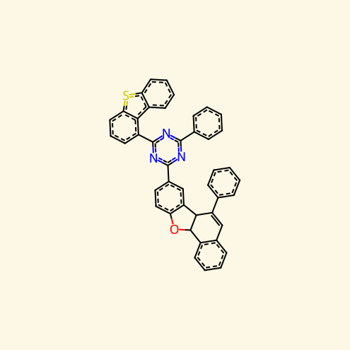 C1=C(c2ccccc2)C2c3cc(-c4nc(-c5ccccc5)nc(-c5cccc6sc7ccccc7c56)n4)ccc3OC2c2ccccc21